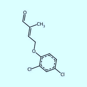 C/C(C=O)=C\COc1ccc(Cl)cc1Cl